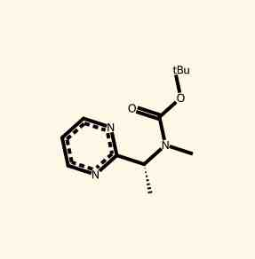 C[C@H](c1ncccn1)N(C)C(=O)OC(C)(C)C